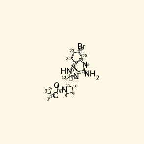 CC(C)(C)OC(=O)N1CCC[C@H]1Cc1nc2c(N)nc3cc(Br)ccc3c2[nH]1